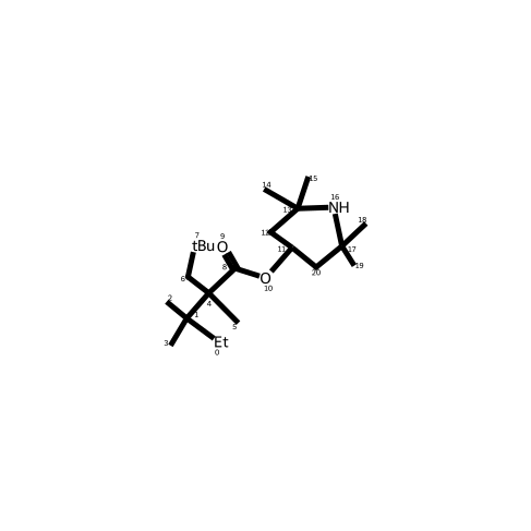 CCC(C)(C)C(C)(CC(C)(C)C)C(=O)OC1CC(C)(C)NC(C)(C)C1